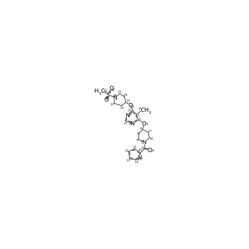 Cc1c(OC2CCN(C(=O)c3ccccn3)CC2)ncnc1OC1CCN(S(C)(=O)=O)CC1